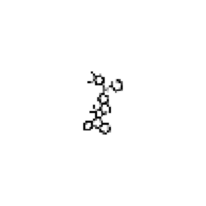 Cc1ccc(N(c2ccccc2)c2ccc3c4c(ccc3c2)-c2c(c3ccccc3c3ccccc23)C4(C)C)cc1C